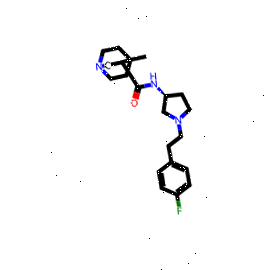 CC12CCN(CC1)CC2C(=O)N[C@H]1CCN(CCc2ccc(F)cc2)C1